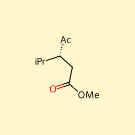 COC(=O)C[C@@H](C(C)=O)C(C)C